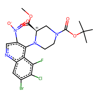 COC(=O)[C@H]1CN(C(=O)OC(C)(C)C)CCN1c1c([N+](=O)[O-])cnc2cc(Br)c(Cl)c(F)c12